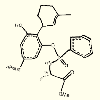 CCCCCc1cc(O)c(C2C=C(C)CCC2)c(OP(=O)(N[C@@H](C)C(=O)OC)c2ccccc2)c1